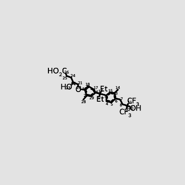 CCC(CC)(c1ccc(CCC(O)(C(F)(F)F)C(F)(F)F)c(C)c1)c1ccc(OC[C@H](O)CCC(=O)O)c(C)c1